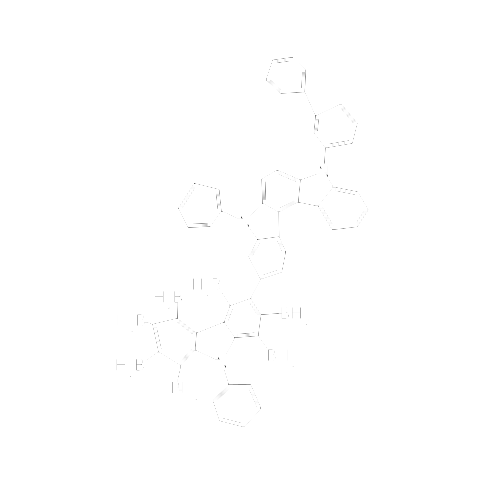 Bc1c(B)c(B)c2c(c1B)c1c(B)c(-c3ccc4c5c6c7ccccc7n(-c7cccc(-c8ccccc8)c7)c6ccc5n(-c5ccccc5)c4c3)c(B)c(B)c1n2-c1ccccc1